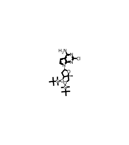 CC(C)(C)[Si](C)(C)OC[C@@]1(C)O[C@@H](n2ccc3c(N)nc(Cl)nc32)CC1O[Si](C)(C)C(C)(C)C